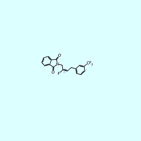 O=C1c2ccccc2C(=O)N1C/C(F)=C\Cc1cccc(C(F)(F)F)c1